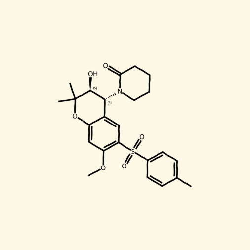 COc1cc2c(cc1S(=O)(=O)c1ccc(C)cc1)[C@@H](N1CCCCC1=O)[C@H](O)C(C)(C)O2